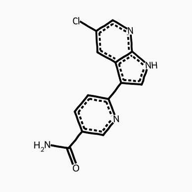 NC(=O)c1ccc(-c2c[nH]c3ncc(Cl)cc23)nc1